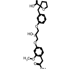 COc1cc(OC[C@H](O)COc2cccc(CC3(C(=O)O)CCCO3)c2)ccc1CC(=O)O